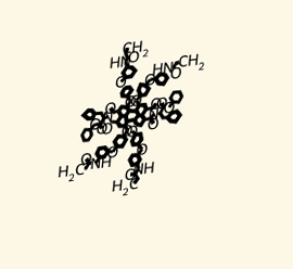 C=CC(=O)Nc1cccc(Oc2ccc(Oc3cc4c5c(cc(Oc6ccc(Oc7cccc(NC(=O)C=C)c7)cc6)c6c7c(Oc8ccc(Oc9cccc(NC(=O)C=C)c9)cc8)cc8c9c(cc(Oc%10ccc(Oc%11cccc(NC(=O)C=C)c%11)cc%10)c(c3c56)c97)C(=O)N(C(Cc3ccccc3)C(=O)OC3CCCCC3)C8=O)C(=O)N(C(Cc3ccccc3)C(=O)OC3CCCCC3)C4=O)cc2)c1